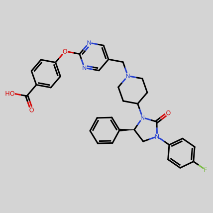 O=C(O)c1ccc(Oc2ncc(CN3CCC(N4C(=O)N(c5ccc(F)cc5)C[C@H]4c4ccccc4)CC3)cn2)cc1